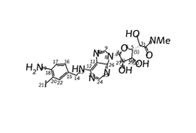 CNC(=O)C(O)[C@H]1O[C@@H](n2cnc3c(NCc4ccc(N)c(I)c4)ncnc32)[C@H](O)[C@@H]1O